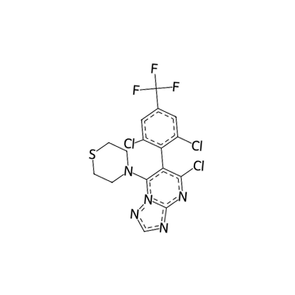 FC(F)(F)c1cc(Cl)c(-c2c(Cl)nc3ncnn3c2N2CCSCC2)c(Cl)c1